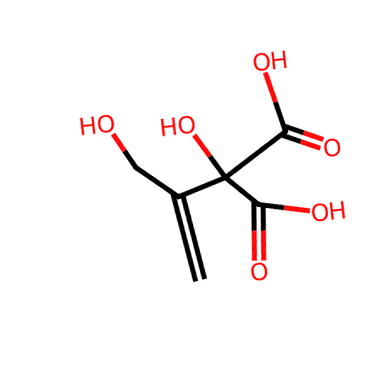 C=C(CO)C(O)(C(=O)O)C(=O)O